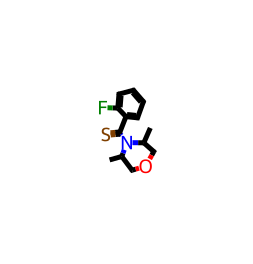 CC1COCC(C)N1C(=S)c1ccccc1F